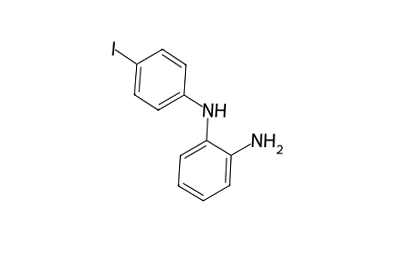 Nc1ccccc1Nc1ccc(I)cc1